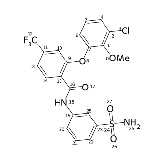 COc1c(Cl)cccc1Oc1cc(C(F)(F)F)ccc1C(=O)Nc1cccc(S(N)(=O)=O)c1